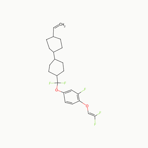 C=CC1CCC(C2CCC(C(F)(F)Oc3ccc(OC=C(F)F)c(F)c3)CC2)CC1